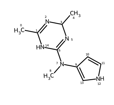 CC1=NC(C)N=C(N(C)c2cc[nH]c2)N1